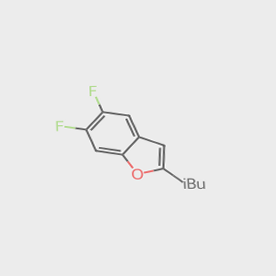 CCC(C)c1cc2cc(F)c(F)cc2o1